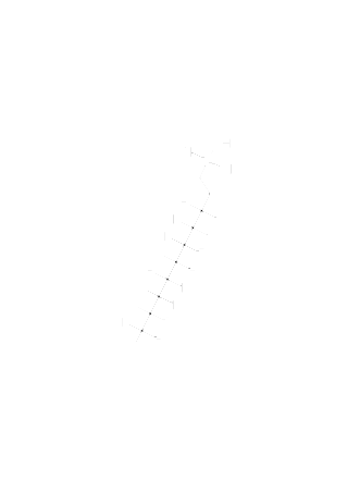 C[Si](Cl)(Cl)CCC(F)(F)C(F)(F)C(F)(F)C(F)(F)C(F)(F)C(F)(F)C(F)(F)C(F)(F)F